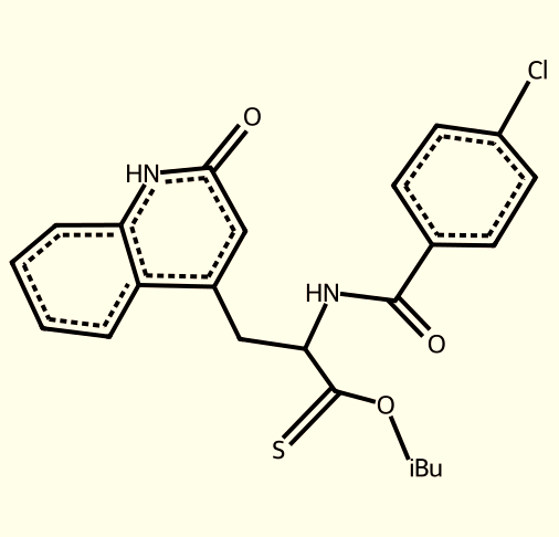 CCC(C)OC(=S)C(Cc1cc(=O)[nH]c2ccccc12)NC(=O)c1ccc(Cl)cc1